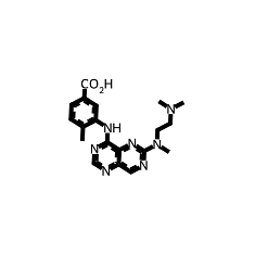 Cc1ccc(C(=O)O)cc1Nc1ncnc2cnc(N(C)CCN(C)C)nc12